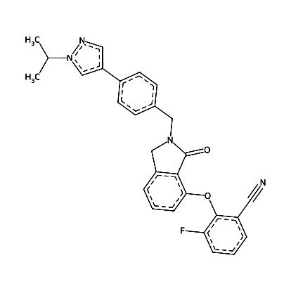 CC(C)n1cc(-c2ccc(CN3Cc4cccc(Oc5c(F)cccc5C#N)c4C3=O)cc2)cn1